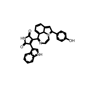 O=C1NC(=O)C(c2c[nH]c3ccccc23)=C1C1=NC=C[N+]2(Cc3ccc(O)cc3)CC=C3C=CC=C1C32